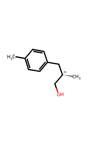 Cc1ccc(C[C@H](C)CO)cc1